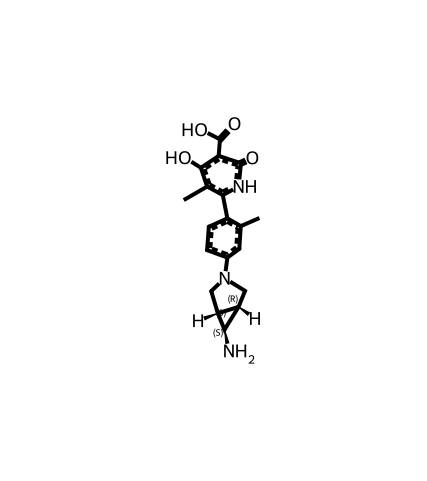 Cc1cc(N2C[C@@H]3[C@@H](N)[C@@H]3C2)ccc1-c1[nH]c(=O)c(C(=O)O)c(O)c1C